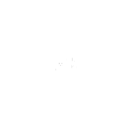 C.[Mo].[Pt].[Ru]